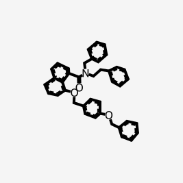 O=C(c1cccc2cccc(OCc3ccc(OCc4ccccc4)cc3)c12)N(CCc1ccccc1)Cc1ccccc1